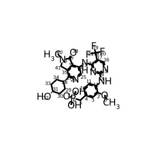 COc1cc(CP(=O)(O)O)ccc1Nc1ncc(C(F)(F)F)c(Nc2cnc([C@H]3CC[C@H](O)CC3)c3c2C(=O)N(C)C3)n1